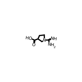 N=C(N)N1CCC(C(=O)O)C1